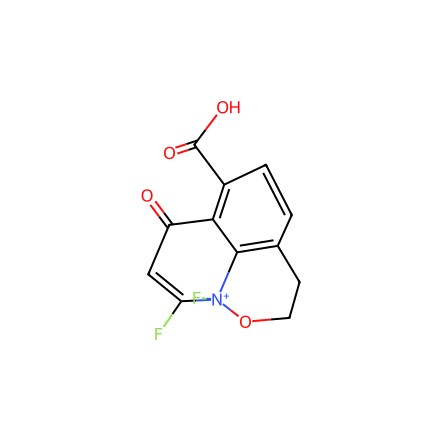 O=C(O)c1ccc2c3c1C(=O)C=C(F)[N+]3(F)OCC2